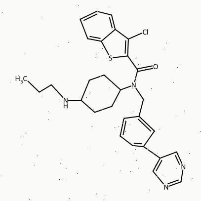 CCCNC1CCC(N(Cc2cccc(-c3cncnc3)c2)C(=O)c2sc3ccccc3c2Cl)CC1